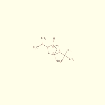 CC(C)N1C[C@H]2C[C@@H]1CN2C(C)(C)C